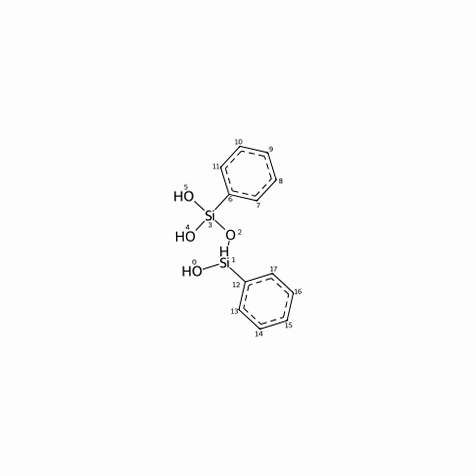 O[SiH](O[Si](O)(O)c1ccccc1)c1ccccc1